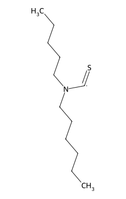 CCCCCCN([C]=S)CCCCC